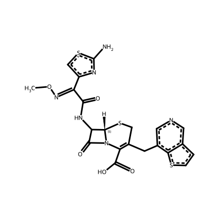 CON=C(C(=O)NC1C(=O)N2C(C(=O)O)=C(Cc3cncc4ccsc34)CS[C@@H]12)c1csc(N)n1